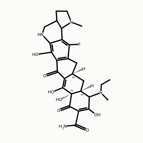 CCN(C)C1C(O)=C(C(N)=O)C(=O)[C@@]2(O)C(O)=C3C(=O)c4c(O)c5c(c(F)c4C[C@H]3C[C@@H]12)C1C(CCN1C)CN5